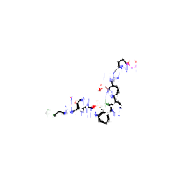 COc1cnc(C(=O)Nc2cccc(-c3nccc(-c4ccc(CNC[C@H]5CCC(=O)N5)c(OC)n4)c3Cl)c2C)cc1CNCCCF